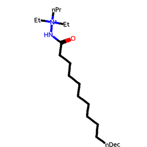 CCCCCCCCCCCCCCCCCCCC(=O)N[N+](CC)(CC)CCC